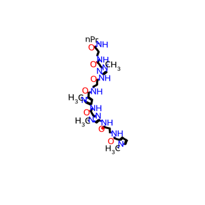 CCCNC(=O)CCNC(=O)c1nc(NC(=O)CCNC(=O)c2cc(NC(=O)c3nc(NC(=O)CCNC(=O)c4cccn4C)cn3C)cn2C)cn1C